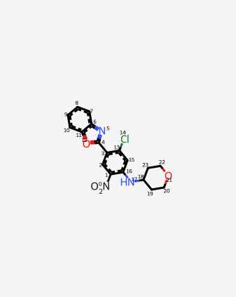 O=[N+]([O-])c1cc(-c2nc3ccccc3o2)c(Cl)cc1NC1CCOCC1